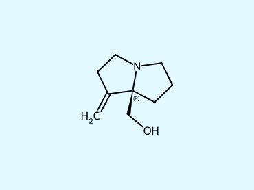 C=C1CCN2CCC[C@]12CO